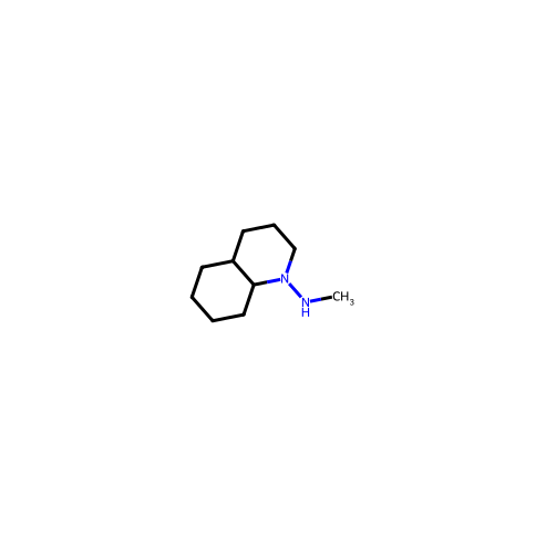 CNN1CCCC2CCCCC21